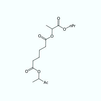 CCCOC(=O)C(C)OC(=O)CCCCC(=O)OC(C)C(C)=O